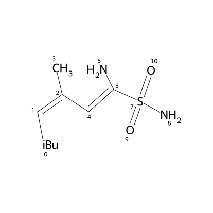 CCC(C)/C=C(C)\C=C(/N)S(N)(=O)=O